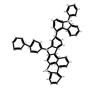 c1ccc(-c2ccc(-n3c4cc(-c5cccc6c5c5ccccc5n6-c5ccccc5)ccc4c4c5cccc6c5c(cc43)Oc3ccccc3-6)cc2)cc1